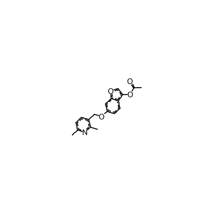 CC(=O)Oc1coc2cc(OCc3ccc(C)nc3C)ccc12